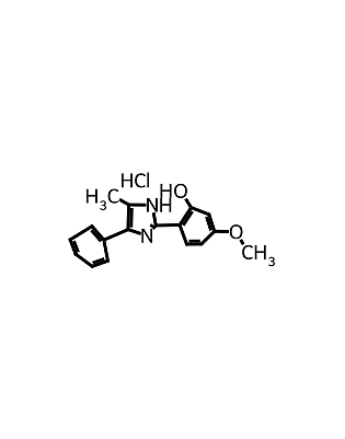 COc1ccc(-c2nc(-c3ccccc3)c(C)[nH]2)c(O)c1.Cl